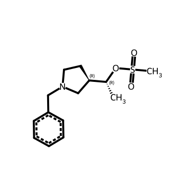 C[C@@H](OS(C)(=O)=O)[C@@H]1CCN(Cc2ccccc2)C1